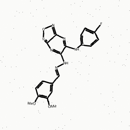 COc1ccc(C=NNc2nc3nonc3nc2Nc2ccc(F)cc2)cc1OC